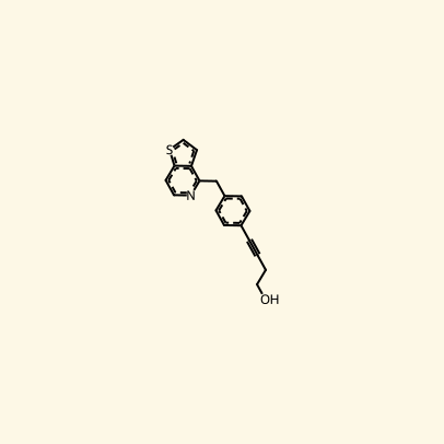 OCCC#Cc1ccc(Cc2nccc3sccc23)cc1